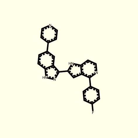 Fc1ccc(-c2nccc3[nH]c(-c4n[nH]c5ccc(-c6ccncc6)cc45)cc23)cc1